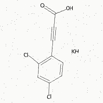 O=C(O)C#Cc1ccc(Cl)cc1Cl.[KH]